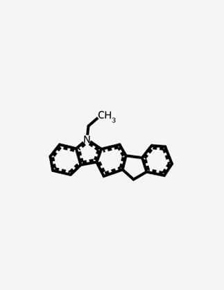 CCn1c2ccccc2c2cc3c(cc21)-c1ccccc1C3